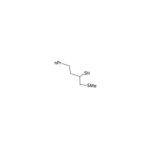 CCCCCC(S)CSC